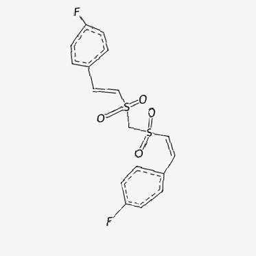 O=S(=O)(/C=C\c1ccc(F)cc1)CS(=O)(=O)/C=C/c1ccc(F)cc1